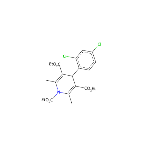 CCOC(=O)C1=C(C)N(C(=O)OCC)C(C)=C(C(=O)OCC)C1c1ccc(Cl)cc1Cl